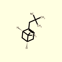 CC(C)(C#N)CC1=CC[C@H]2C[C@@H]1C2(C)C